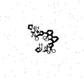 Cn1c(C[C@@H]2CCCN2)nn2cc(-c3cccc(-c4cccc(-c5cc6c(=O)n(C)c(C[C@@H]7CCCN7)nn6c5)c4Cl)c3Cl)cc2c1=O